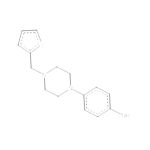 Nc1ccc(N2CCN(Cc3cccs3)CC2)cc1